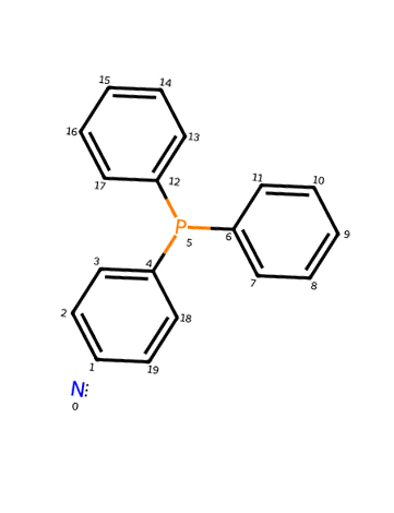 [N].c1ccc(P(c2ccccc2)c2ccccc2)cc1